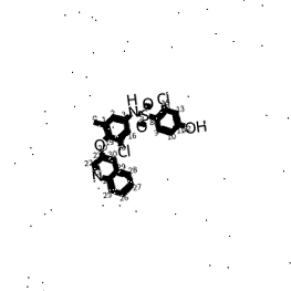 Cc1cc(NS(=O)(=O)c2ccc(O)cc2Cl)cc(Cl)c1Oc1cnc2ccccc2c1